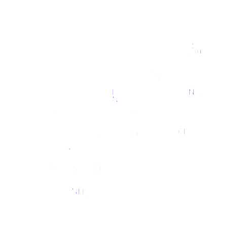 Cc1nc(C(C)(C)C)sc1C(=O)Nc1cccc(S(N)(=O)=O)c1